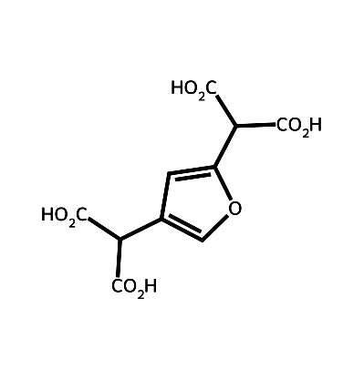 O=C(O)C(C(=O)O)c1coc(C(C(=O)O)C(=O)O)c1